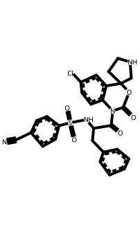 N#Cc1ccc(S(=O)(=O)NC(Cc2ccccc2)C(=O)N2C(=O)OC3(CCNC3)c3cc(Cl)ccc32)cc1